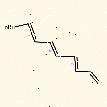 [CH]=C/C=C/C=C/C=C/CCCC